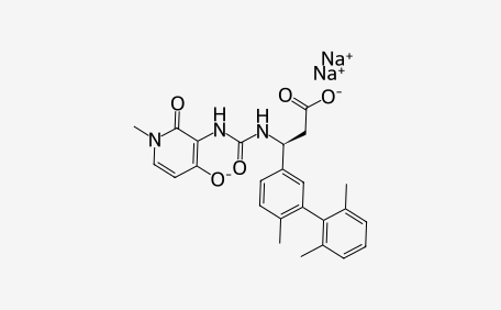 Cc1ccc([C@H](CC(=O)[O-])NC(=O)Nc2c([O-])ccn(C)c2=O)cc1-c1c(C)cccc1C.[Na+].[Na+]